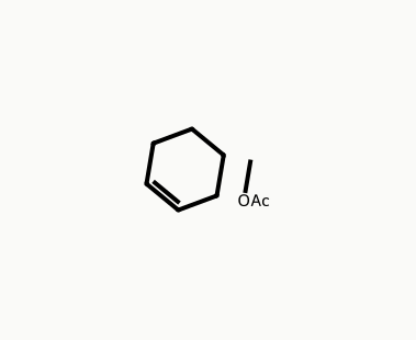 C1=CCCCC1.COC(C)=O